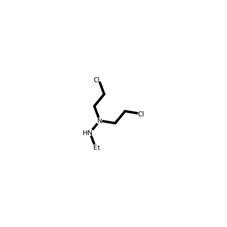 CCNN(CCCl)CCCl